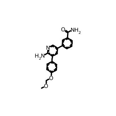 COCOc1ccc(-c2cc(-c3cccc(C(N)=O)c3)cnc2N)cc1